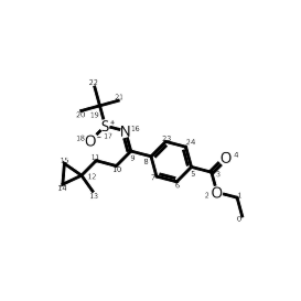 CCOC(=O)c1ccc(/C(CCC2(C)CC2)=N/[S+]([O-])C(C)(C)C)cc1